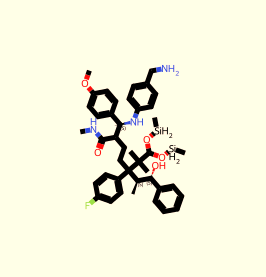 CNC(=O)C(CCC(c1ccc(F)cc1)([C@H](C)[C@H](O)c1ccccc1)C(C)(C)C(O[SiH2]C)O[SiH2]C)[C@H](Nc1ccc(CN)cc1)c1ccc(OC)cc1